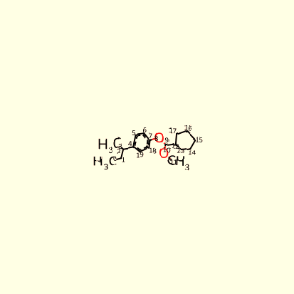 CCC(C)c1ccc(OC(OC)C2CCCCC2)cc1